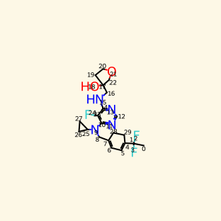 CC(F)(F)C1=CC=C(CN(c2ncnc(NCC3(O)CCOC3)c2F)C2CC2)CC1